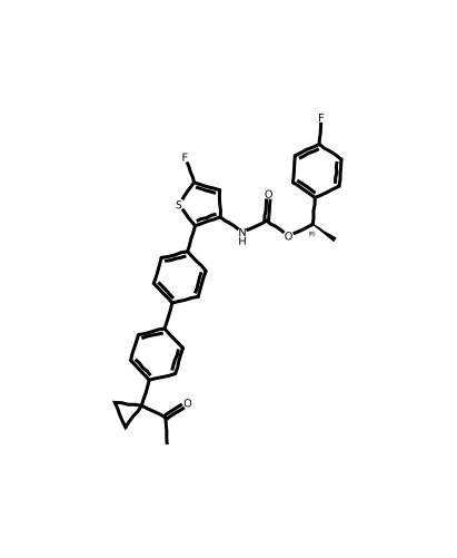 CC(=O)C1(c2ccc(-c3ccc(-c4sc(F)cc4NC(=O)O[C@H](C)c4ccc(F)cc4)cc3)cc2)CC1